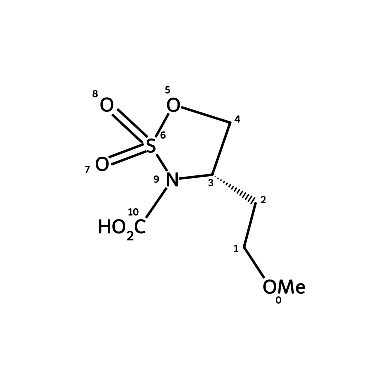 COCC[C@H]1COS(=O)(=O)N1C(=O)O